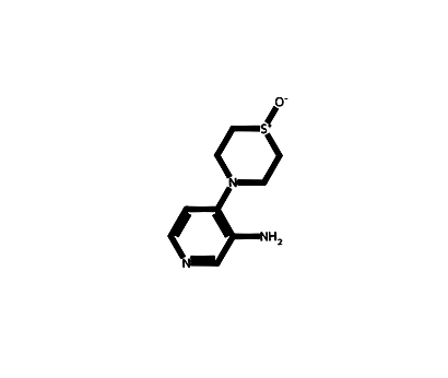 Nc1cnccc1N1CC[S+]([O-])CC1